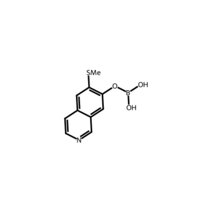 CSc1cc2ccncc2cc1OB(O)O